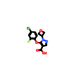 O=C(O)c1cnn(C2COC2)c1Oc1ccc(Cl)cc1F